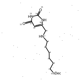 CCCCCCCCCCCCCCCCNCc1cc(=O)[nH]c(=O)[nH]1